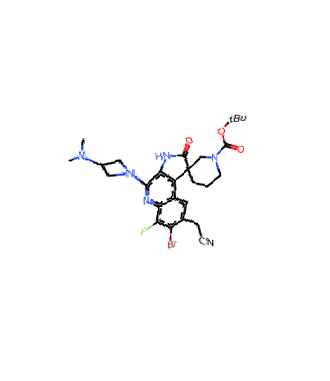 CN(C)C1CN(c2nc3c(F)c(Br)c(CC#N)cc3c3c2NC(=O)C32CCCN(C(=O)OC(C)(C)C)C2)C1